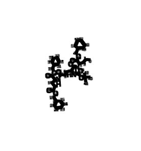 CCCC(NC(=O)C(CCC(=O)NC(CCC(=O)OCc1ccccc1)C(=O)OCc1ccccc1)NC(=O)OC(C)(C)C)C(=O)OCc1ccccc1